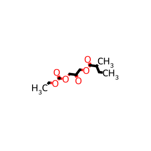 CCOC(=O)OCC(=O)COC(=O)C(C)CC